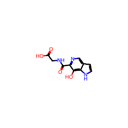 O=C(O)CNC(=O)c1ncc2cc[nH]c2c1O